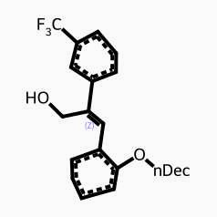 CCCCCCCCCCOc1ccccc1/C=C(\CO)c1cccc(C(F)(F)F)c1